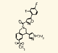 Cn1cc(C2CN(C(=O)c3cc(-c4ccc(F)cc4F)on3)Cc3ccc(S(C)(=O)=O)cc32)cn1